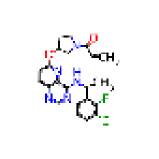 C=CC(=O)N1CC[C@H](Oc2ccc3ncnc(N[C@@H](C)c4cccc(Cl)c4F)c3n2)C1